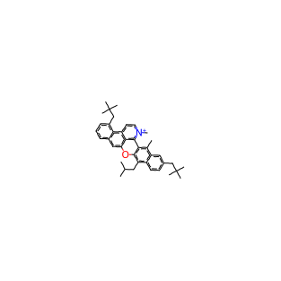 Cc1c2c(c(CC(C)C)c3ccc(CC(C)(C)C)cc13)Oc1cc3cccc(CC(C)(C)C)c3c3cc[n+](C)c-2c13